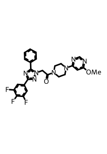 COc1cc(N2CCN(C(=O)Cn3nc(-c4cc(F)c(F)c(F)c4)nc3-c3ccccc3)CC2)ncn1